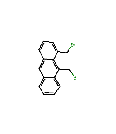 BrCc1cccc2cc3ccccc3c(CBr)c12